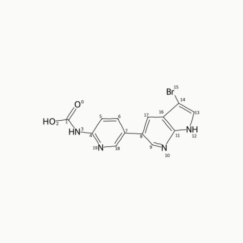 O=C(O)Nc1ccc(-c2cnc3[nH]cc(Br)c3c2)cn1